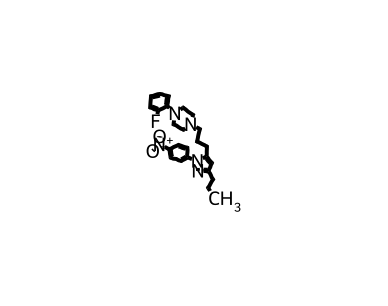 CCCc1cc(CCCN2CCN(c3ccccc3F)CC2)n(-c2ccc([N+](=O)[O-])cc2)n1